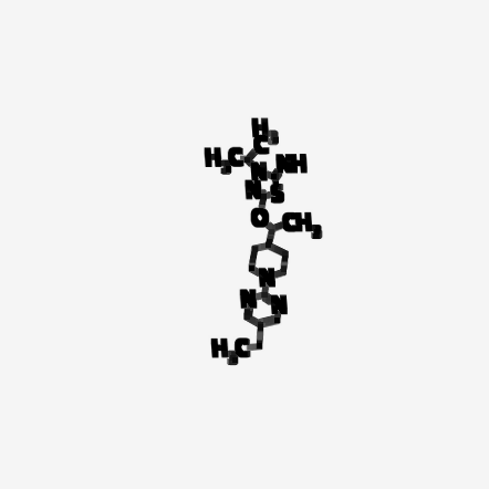 CCc1cnc(N2CCC(C(C)Oc3nn(C(C)C)c(=N)s3)CC2)nc1